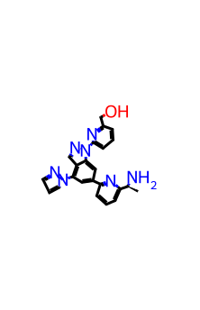 C[C@H](N)c1cccc(-c2cc(-n3cccn3)c3cnn(-c4cccc(CO)n4)c3c2)n1